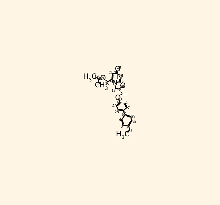 CCc1ccc(-c2ccc(OC[C@@H]3Cn4c(COC(C)C)cc(=O)nc4O3)cc2)cc1